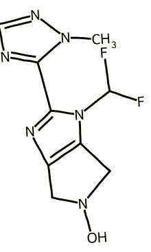 Cn1ncnc1-c1nc2c(n1C(F)F)CN(O)C2